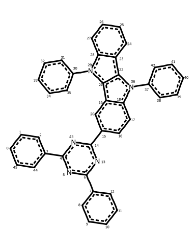 c1ccc(-c2nc(-c3ccccc3)nc(-c3ccc4c(c3)c3c(c5ccccc5n3-c3ccccc3)n4-c3ccccc3)n2)cc1